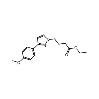 CCOC(=O)CCCn1ccc(-c2ccc(OC)cc2)n1